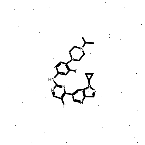 CC(C)N1CCN(c2ccc(Nc3ncc(F)c(-c4cnc5cnn(C6CC6)c5c4)n3)cc2F)CC1